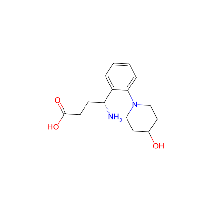 N[C@H](CCC(=O)O)c1ccccc1N1CCC(O)CC1